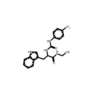 N#CCNC(=O)C(Cc1c[nH]c2ccccc12)NC(=O)Nc1ccc(C(F)(F)F)cc1